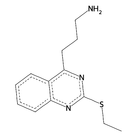 CCSc1nc(CCCN)c2ccccc2n1